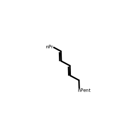 [CH2]CC/C=C/C=C/CCCCCC